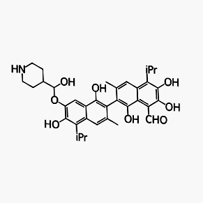 Cc1cc2c(C(C)C)c(O)c(OC(O)C3CCNCC3)cc2c(O)c1-c1c(C)cc2c(C(C)C)c(O)c(O)c(C=O)c2c1O